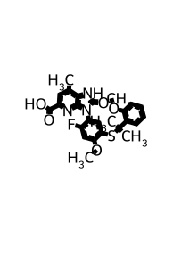 COc1cc(F)c(-n2c(=O)[nH]c3c(C)cc(C(=O)O)nc32)cc1SC(C)(C)c1ccccc1OC